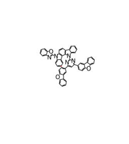 c1ccc2oc(-n3c4ccccc4c4c3ccc3c5ccccc5n(-c5nc(-c6ccc7oc8ccccc8c7c6)cc(-c6ccc7oc8ccccc8c7c6)n5)c34)nc2c1